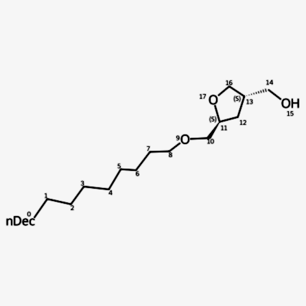 CCCCCCCCCCCCCCCCCCOC[C@@H]1C[C@@H](CO)CO1